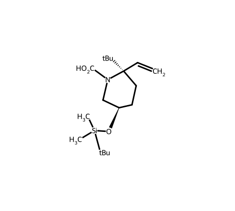 C=C[C@@]1(C(C)(C)C)CC[C@@H](O[Si](C)(C)C(C)(C)C)CN1C(=O)O